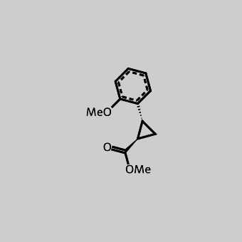 COC(=O)[C@@H]1C[C@H]1c1ccccc1OC